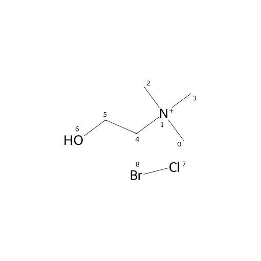 C[N+](C)(C)CCO.ClBr